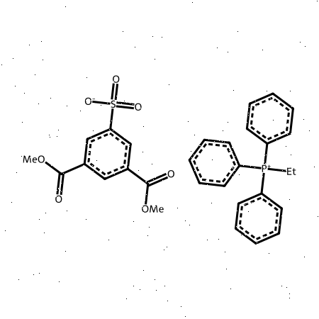 CC[P+](c1ccccc1)(c1ccccc1)c1ccccc1.COC(=O)c1cc(C(=O)OC)cc(S(=O)(=O)[O-])c1